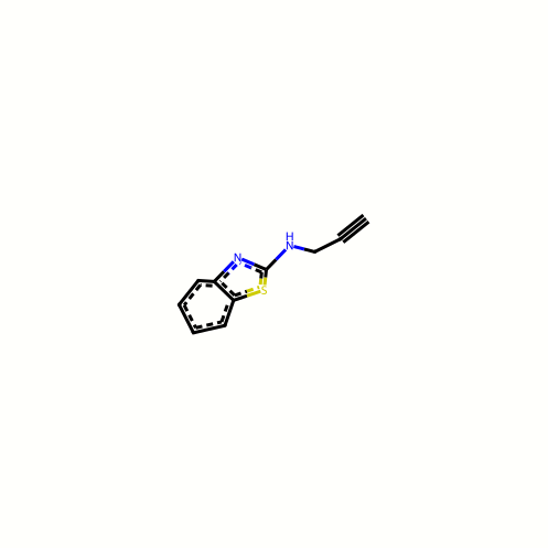 C#CCNc1nc2ccccc2s1